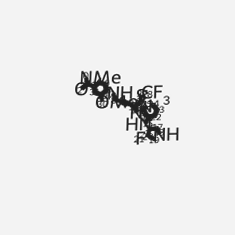 CNC(=O)c1ccc(NCC#Cc2nc3c(N[C@@H]4CNC[C@@H]4F)cccn3c2SC(F)(F)F)c(OC)c1